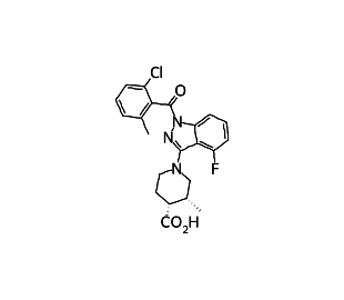 Cc1cccc(Cl)c1C(=O)n1nc(N2CC[C@@H](C(=O)O)[C@@H](C)C2)c2c(F)cccc21